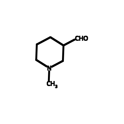 CN1CCCC(C=O)C1